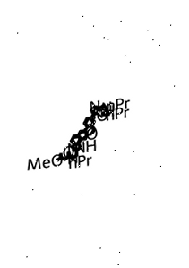 CCCC(=O)N(CCC)Cc1ncc(-c2ccc3c(c2)COc2cc4c(ccc5nc(CN(CCC)C(=O)CC(C)OC)[nH]c54)cc2-3)[nH]1